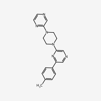 Cc1ccc(-c2cncc(N3CCN(c4cnccn4)CC3)n2)cc1